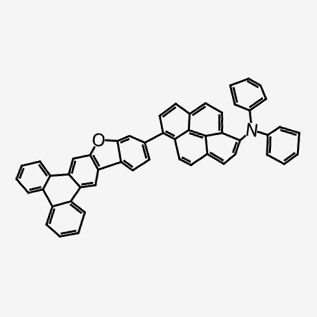 c1ccc(N(c2ccccc2)c2ccc3ccc4c(-c5ccc6c(c5)oc5cc7c8ccccc8c8ccccc8c7cc56)ccc5ccc2c3c54)cc1